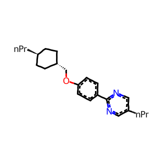 CCCc1cnc(-c2ccc(OC[C@H]3CC[C@H](CCC)CC3)cc2)nc1